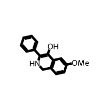 COc1ccc2c(c1)C(O)=C(c1ccccc1)NC2